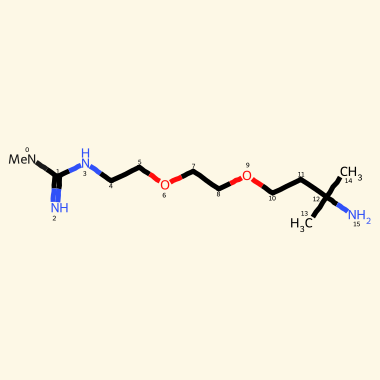 CNC(=N)NCCOCCOCCC(C)(C)N